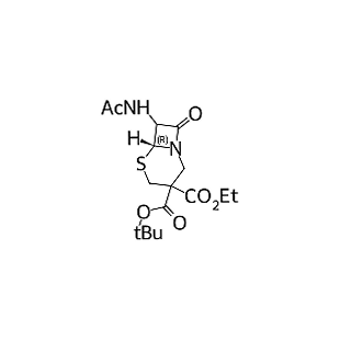 CCOC(=O)C1(C(=O)OC(C)(C)C)CS[C@@H]2C(NC(C)=O)C(=O)N2C1